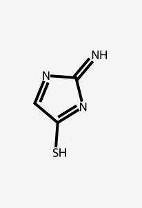 N=C1N=CC(S)=N1